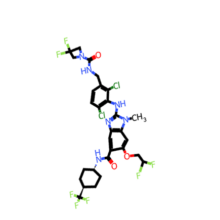 Cn1c(Nc2c(Cl)ccc(CNC(=O)N3CC(F)(F)C3)c2Cl)nc2cc(C(=O)N[C@H]3CC[C@H](C(F)(F)F)CC3)c(OCC(F)F)cc21